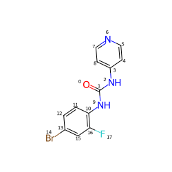 O=C(Nc1ccncc1)Nc1ccc(Br)cc1F